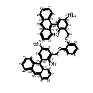 CC(C)(C)c1cc(CSc2ccccc2SCc2cc(C(C)(C)C)cc(-c3c4ccccc4cc4ccccc34)c2O)c(O)c(-c2c3ccccc3cc3ccccc23)c1